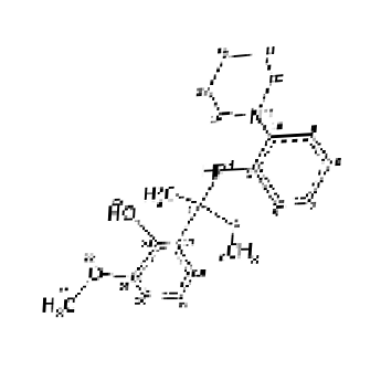 CCC(C)(Pc1ccccc1N1CCCCC1)c1cccc(OC)c1O